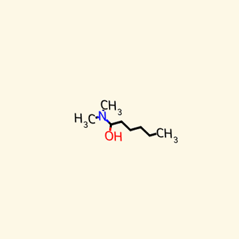 CCCCCC(O)N(C)C